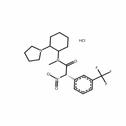 CN(C(=O)[C@H](c1cccc(C(F)(F)F)c1)[N+](=O)[O-])C1CCCCC1N1CCCC1.Cl